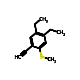 C#Cc1cc(CC)c(CC)cc1SC